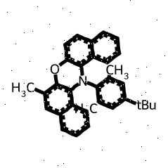 Cc1cc2ccccc2c2c1Oc1ccc3ccccc3c1N2c1c(C)cc(C(C)(C)C)cc1C